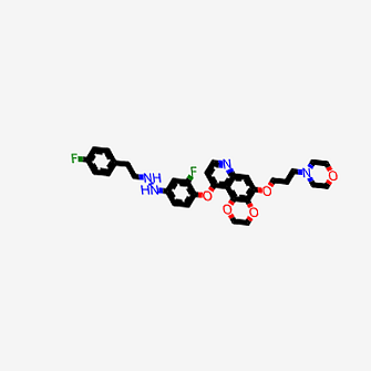 Fc1ccc(CCNNc2ccc(Oc3ccnc4cc(OCCCN5CCOCC5)c5c(c34)OCCO5)c(F)c2)cc1